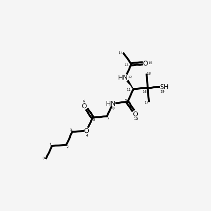 CCCCOC(=O)CNC(=O)[C@@H](NC(C)=O)C(C)(C)S